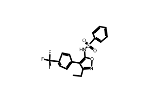 CCc1noc(NS(=O)(=O)c2ccccc2)c1-c1ccc(C(F)(F)F)cc1